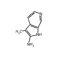 Cc1c(N)[nH]c2cnccc12